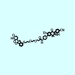 CCc1cc2c(cc1N1CCC(NC(=O)CCOCCOCCCSc3cccc4c3CN(C3CCC(=O)NC3=O)C4=O)CC1)C(C)(C)c1[nH]c3cc(C#N)ccc3c1C2=O